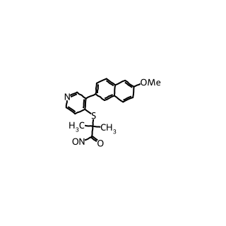 COc1ccc2cc(-c3cnccc3SC(C)(C)C(=O)N=O)ccc2c1